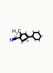 Cc1cc(C2CCCCC2)ccc1C#N